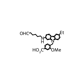 CCc1ccc2c(c1)c1ccc(NCCCCCC=O)cc1n2Cc1ccc(C(=O)O)cc1OC